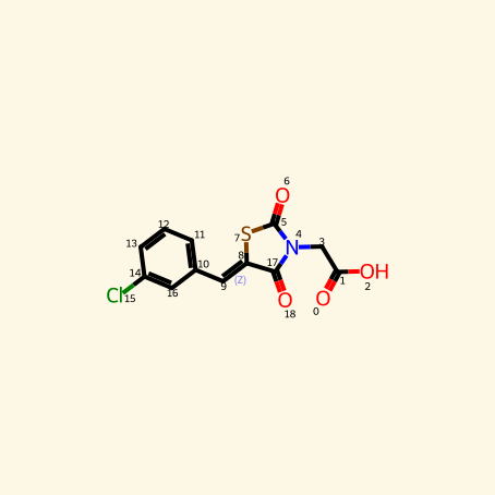 O=C(O)CN1C(=O)S/C(=C\c2cccc(Cl)c2)C1=O